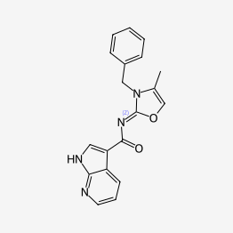 Cc1co/c(=N\C(=O)c2c[nH]c3ncccc23)n1Cc1ccccc1